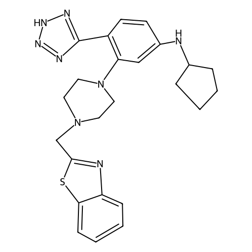 c1ccc2sc(CN3CCN(c4cc(NC5CCCC5)ccc4-c4nn[nH]n4)CC3)nc2c1